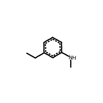 CCc1cccc(NC)c1